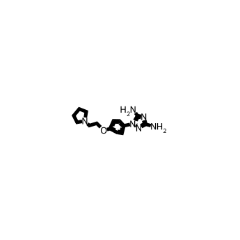 Nc1nc(N)n(-c2ccc(OCCN3CCCC3)cc2)n1